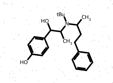 CC(CCc1ccccc1)N(C(C)C(O)c1ccc(O)cc1)C(C)(C)C